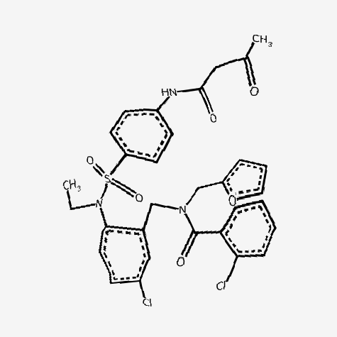 CCN(c1ccc(Cl)cc1CN(Cc1ccco1)C(=O)c1ccccc1Cl)S(=O)(=O)c1ccc(NC(=O)CC(C)=O)cc1